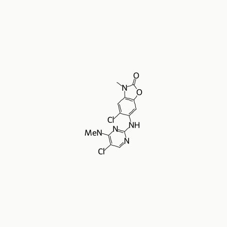 CNc1nc(Nc2cc3oc(=O)n(C)c3cc2Cl)ncc1Cl